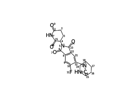 O=C1CCC(N2C(=O)c3cc(F)c(N4CC5CCC4CN5)cc3C2=O)C(=O)N1